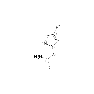 C[C@H](N)Cn1cc(F)cn1